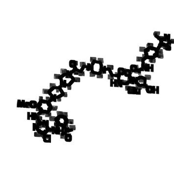 COc1cc(N2CCC(N3CCN(C(=O)CCN4CCN(CCC(=O)N[C@H](C(=O)N5C[C@H](O)C[C@H]5C(=O)NCc5ccc(-c6scnc6C)cc5)C(C)(C)C)CC4)CC3)CC2)ccc1Nc1ncc(Cl)c(Nc2ccccc2P(C)(C)=O)n1